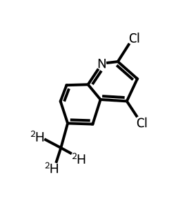 [2H]C([2H])([2H])c1ccc2nc(Cl)cc(Cl)c2c1